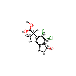 COC(=O)C(C)(c1cc2c(c(Cl)c1Cl)C(=O)CC2)C(C)C